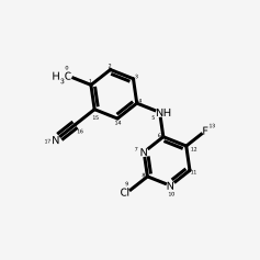 Cc1ccc(Nc2nc(Cl)ncc2F)cc1C#N